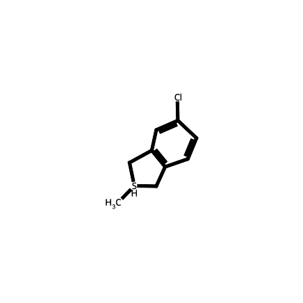 C[SH]1Cc2ccc(Cl)cc2C1